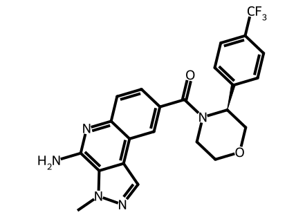 Cn1ncc2c3cc(C(=O)N4CCOC[C@@H]4c4ccc(C(F)(F)F)cc4)ccc3nc(N)c21